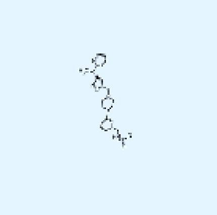 CC(c1ccccn1)n1cc(CN2CCC(c3cccc(CN[SH](=O)=O)c3)CC2)nn1